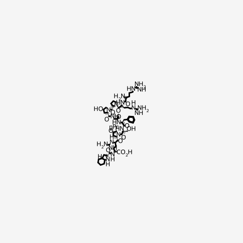 CCCO[C@@H]1C[C@@H](C(=O)C(CC[C@H](NC(=O)[C@H]2C[C@@H]3CCCCC3N2)C(=O)O)NC(=N)N)N(C(=O)[C@H](CO)NC(=O)[C@H](Cc2ccccc2)NC(=O)CNC(=O)[C@@H]2CC(O)CN2C(=O)[C@@H]2CCCN2C(=O)[C@H](CCCNC(=N)N)NC(=O)[C@H](N)CCCNC(=N)N)C1